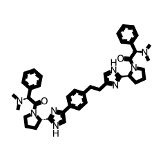 CN(C)[C@@H](C(=O)N1CCC[C@H]1c1nc(CCc2ccc(-c3c[nH]c([C@@H]4CCCN4C(=O)[C@@H](c4ccccc4)N(C)C)n3)cc2)c[nH]1)c1ccccc1